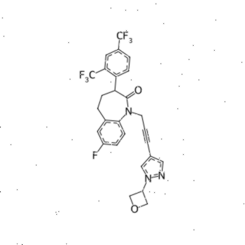 O=C1C(c2ccc(C(F)(F)F)cc2C(F)(F)F)CCc2cc(F)ccc2N1CC#Cc1cnn(C2COC2)c1